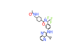 CC(=O)NCC1CCC(C(=O)N(C)[C@@H](c2ccc(Nc3cnc4cccnc4c3C3CC3)cc2)C(F)(F)F)CC1